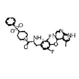 Cc1c[nH]c2ncnc(Oc3c(F)cc(C[C@H](N)C(=O)N4CCC(S(=O)(=O)c5ccccc5)CC4)cc3F)c12